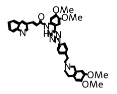 COc1cc2c(cc1OC)CN(CCc1ccc(-n3nnc(-c4cc(OC)c(OC)cc4NC(=O)C=Cc4cnc5ccccc5c4)n3)cc1)CC2